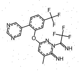 Cc1cc(Oc2cc(C(F)(F)F)ccc2-c2cncnc2)nn(C(=N)C(F)(F)F)c1=N